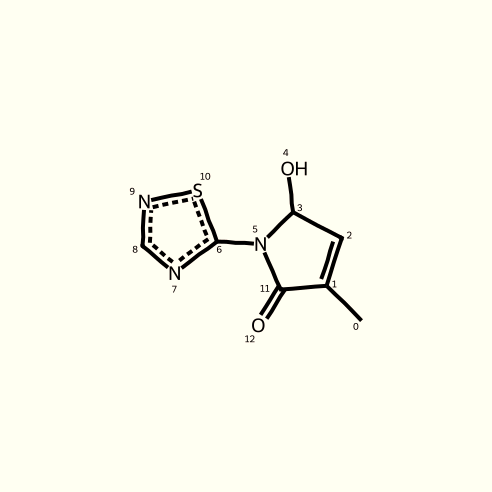 CC1=CC(O)N(c2ncns2)C1=O